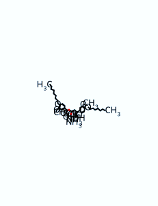 CCCCCCCCOc1ccc(C(CC(=O)CC(c2ccc(OCCCCCCCC)c(OC)c2)S(=O)(=O)O)S(=O)(=O)O)cc1OC.N.N